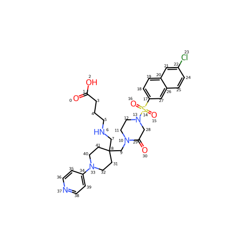 O=C(O)CCCNCC1(CN2CCN(S(=O)(=O)c3ccc4cc(Cl)ccc4c3)CC2=O)CCN(c2ccncc2)CC1